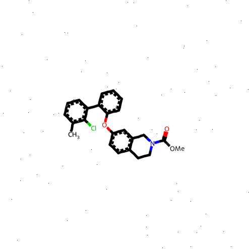 COC(=O)N1CCc2ccc(Oc3ccccc3-c3cccc(C)c3Cl)cc2C1